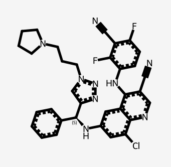 N#Cc1cnc2c(Cl)cc(N[C@@H](c3ccccc3)c3cn(CCCN4CCCC4)nn3)cc2c1Nc1ccc(F)c(C#N)c1F